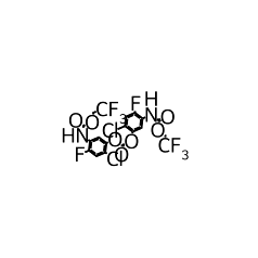 O=C(Nc1cc(OC(=O)Oc2cc(NC(=O)OCC(F)(F)F)c(F)cc2Cl)c(Cl)cc1F)OCC(F)(F)F